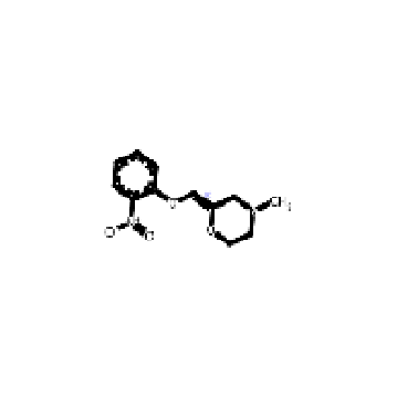 CN1CCO/C(=C\Oc2ccccc2[N+](=O)[O-])C1